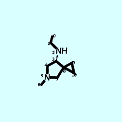 CCN[C@H]1CN(C)CC12CC2